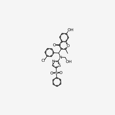 Cc1oc2cc(O)ccc2c(=O)c1C(c1cccc(Cl)c1)N(CO)c1ncc(S(=O)(=O)c2ccccc2)s1